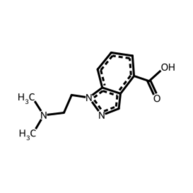 CN(C)CCn1ncc2c(C(=O)O)cccc21